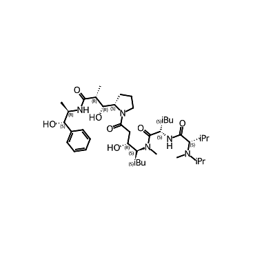 CC[C@H](C)[C@@H]([C@H](O)CC(=O)N1CCC[C@H]1[C@H](O)[C@@H](C)C(=O)N[C@H](C)[C@@H](O)c1ccccc1)N(C)C(=O)[C@@H](NC(=O)[C@H](C(C)C)N(C)C(C)C)[C@@H](C)CC